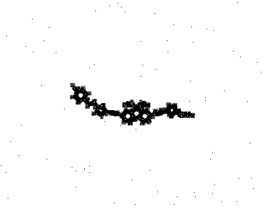 CCCCC1(CCCC)c2cc(C#Cc3ccc(/C=C/c4ccc(C)cc4)s3)ccc2-c2ccc(C#Cc3ccc(OC)s3)cc21